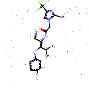 Cc1nc(C(F)(F)F)cn1CC(=O)N/C(C=N)=C(/Nc1ccc(F)cc1)C(C)C